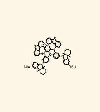 Cc1cc2c3c(c1)N(c1cccc4sc5ccccc5c14)c1cc(N4c5ccc(C(C)(C)C)cc5C5(C)CCCCC45C)ccc1B3c1ccc(N3c4ccc(C(C)(C)C)cc4C4(C)CCCCC34C)cc1N2c1cccc2sc3ccccc3c12